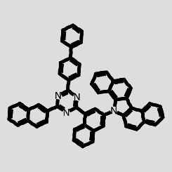 c1ccc(-c2ccc(-c3nc(-c4ccc5ccccc5c4)nc(-c4cc(-n5c6ccc7ccccc7c6c6ccc7ccccc7c65)cc5ccccc45)n3)cc2)cc1